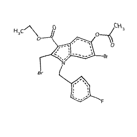 CCOC(=O)c1c(CBr)n(Cc2ccc(F)cc2)c2cc(Br)c(OC(C)=O)cc12